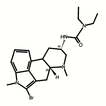 CCN(CC)C(=O)N[C@H]1CC2c3cccc4c3c(c(Br)n4C)C[C@H]2N(C)C1